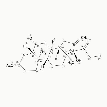 C=C1C[C@H]2[C@@H]3C[C@@H](O)[C@@]4(O)C[C@@H](OC(C)=O)CC[C@]4(C)[C@H]3CC[C@]2(C)[C@@]1(O)C(=O)CCl